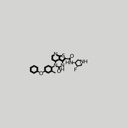 Cc1cc(Oc2ccccc2)ccc1N1C(=O)Nc2c(C(=O)N[C@H]3CNC[C@@H]3F)sc3nccc1c23